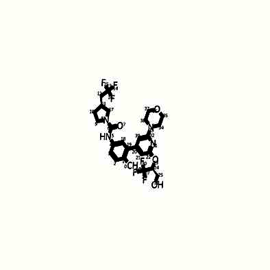 Cc1ccc(NC(=O)N2CC[C@@H](CC(F)(F)F)C2)cc1-c1cc(O[C@@H](CO)C(F)(F)F)nc(N2CCOCC2)c1